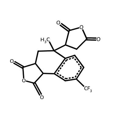 CC1(C2CC(=O)OC2=O)CC2C(=O)OC(=O)C2c2cc(C(F)(F)F)ccc21